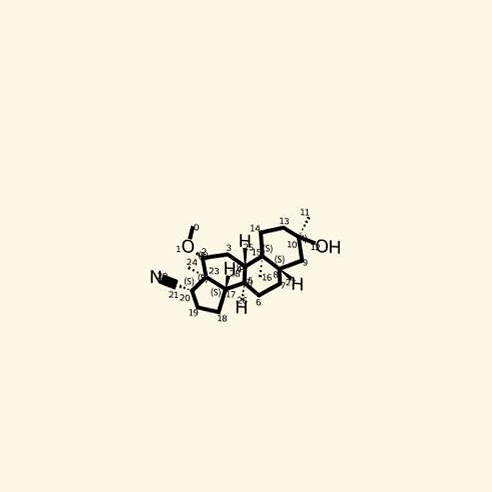 CO[C@@H]1C[C@H]2[C@@H](CC[C@H]3C[C@](C)(O)CC[C@@]32C)[C@@H]2CC[C@H](C#N)[C@@]12C